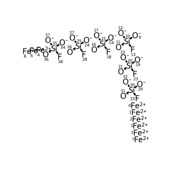 [Fe+2].[Fe+2].[Fe+2].[Fe+2].[Fe+2].[Fe+2].[Fe+2].[Fe+2].[Fe+2].[O-][Si]([O-])([O-])F.[O-][Si]([O-])([O-])F.[O-][Si]([O-])([O-])F.[O-][Si]([O-])([O-])F.[O-][Si]([O-])([O-])F.[O-][Si]([O-])([O-])F